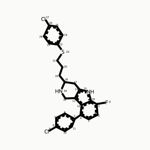 Fc1ccc(-c2ccc(Cl)cc2)c2c3c([nH]c12)CC(CCCSc1ccc(Cl)cc1)NC3